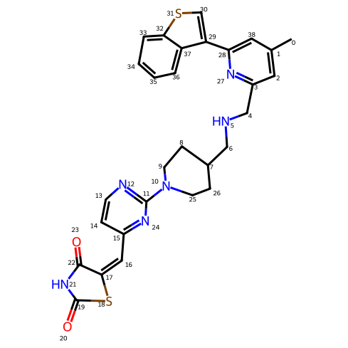 Cc1cc(CNCC2CCN(c3nccc(/C=C4/SC(=O)NC4=O)n3)CC2)nc(-c2csc3ccccc23)c1